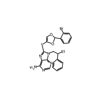 CCC(Cn1c(SC2=COC(c3ccccc3Br)O2)nc2c(N)ncnc21)c1ccccc1